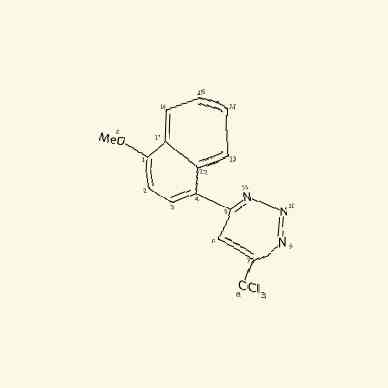 COc1ccc(-c2cc(C(Cl)(Cl)Cl)nnn2)c2ccccc12